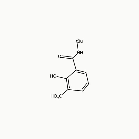 CC(C)(C)NC(=O)c1cccc(C(=O)O)c1O